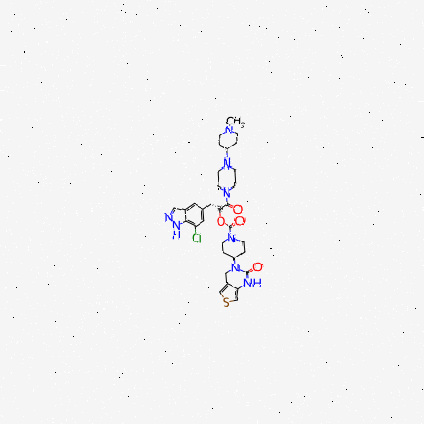 CN1CCC(N2CCN(C(=O)[C@@H](Cc3cc(Cl)c4[nH]ncc4c3)OC(=O)N3CCC(N4Cc5cscc5NC4=O)CC3)CC2)CC1